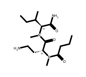 CCCC(=O)N(C)[C@H](CCN)C(=O)N(C)[C@H](C(N)=O)C(C)CC